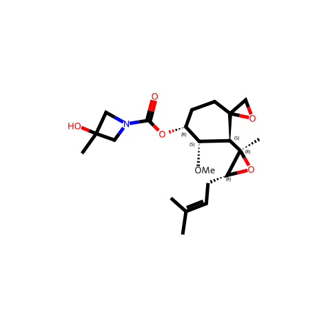 CO[C@@H]1[C@H](OC(=O)N2CC(C)(O)C2)CCC2(CO2)[C@H]1[C@@]1(C)O[C@@H]1CC=C(C)C